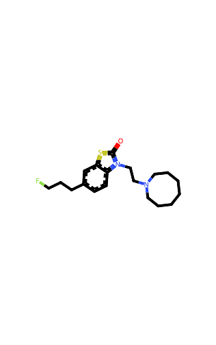 O=c1sc2cc(CCCF)ccc2n1CCN1CCCCCCC1